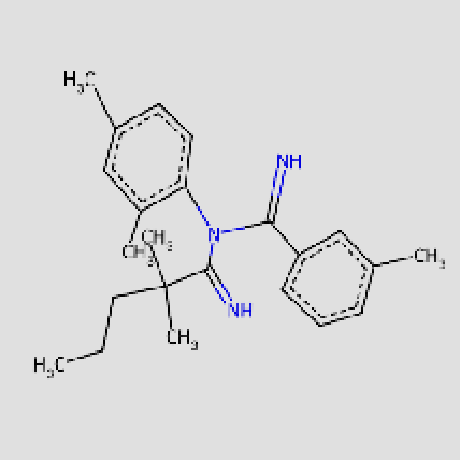 CCCC(C)(C)C(=N)N(C(=N)c1cccc(C)c1)c1ccc(C)cc1C